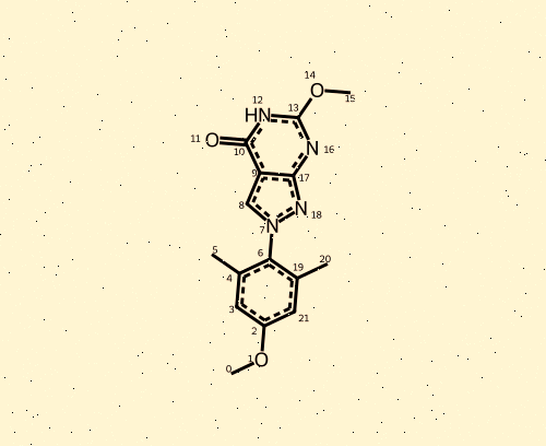 COc1cc(C)c(-n2cc3c(=O)[nH]c(OC)nc3n2)c(C)c1